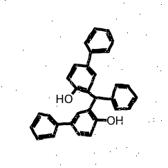 Oc1ccc(-c2ccccc2)cc1C(c1ccccc1)c1cc(-c2ccccc2)ccc1O